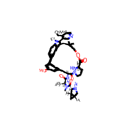 CCn1c(-c2cnccc2COC)c2c3cc(ccc31)-c1cc(O)cc(c1)C[C@H](NC(=O)[C@H](C(C)C)N(C)C(=O)[C@@H]1NC[C@@H]3C[C@@H]31)C(=O)N1CCC[C@H](N1)C(=O)OCC(C)(C)C2